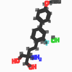 CCCCOc1ccc(-c2ccc(CCC(N)(CO)CO)c(F)c2)cc1.Cl